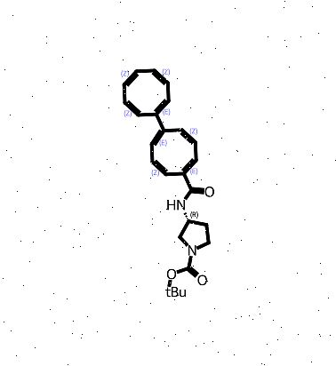 CC(C)(C)OC(=O)N1CC[C@@H](NC(=O)C2=C\C=C/C(C3=C/C=C\C=C/C=C\3)=C\C=C/2)C1